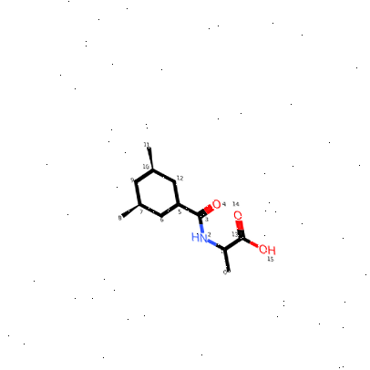 CC(NC(=O)C1C[C@@H](C)C[C@@H](C)C1)C(=O)O